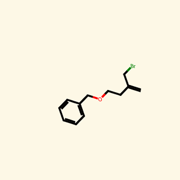 C=C(CBr)CCOCc1ccccc1